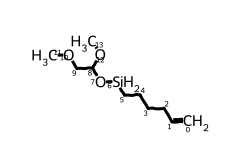 C=CCCCC[SiH2]OC(COC)OC